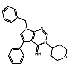 N=c1c2c(-c3ccccc3)cn(Cc3ccccc3)c2ncn1C1CCOCC1